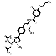 CCCOc1ccc(C(=O)N[C@H](CCO)Cc2ccc(-c3cn(C)c([C@@H](CC(N)=O)NC(C)=O)n3)cc2)cc1Cl